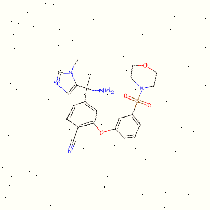 Cn1cncc1C(C)(N)c1ccc(C#N)c(Oc2cccc(S(=O)(=O)N3CCOCC3)c2)c1